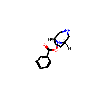 O=C(ON1[C@@H]2CC[C@H]1CNC2)c1ccccc1